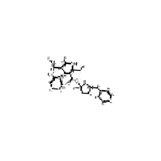 CCC1=C(C(=O)O[C@@]2(C)CCN(Cc3ccccc3)C2)[C@@H](c2ccccc2Cl)C(C(=O)OC)=C(C)N1